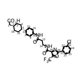 O=C(O)C[C@H]1CC[C@H](c2ccc(NC(=O)CCNC(=O)c3nc(-c4cccc(Cl)c4)oc3C(F)(F)F)cc2)CC1